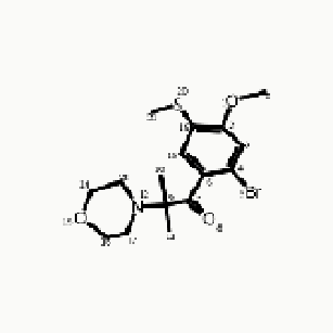 COc1cc(Br)c(C(=O)C(C)(C)N2CCOCC2)cc1SC